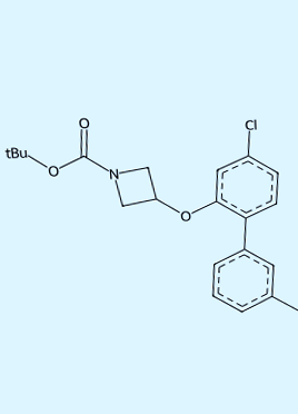 Cc1cccc(-c2ccc(Cl)cc2OC2CN(C(=O)OC(C)(C)C)C2)c1